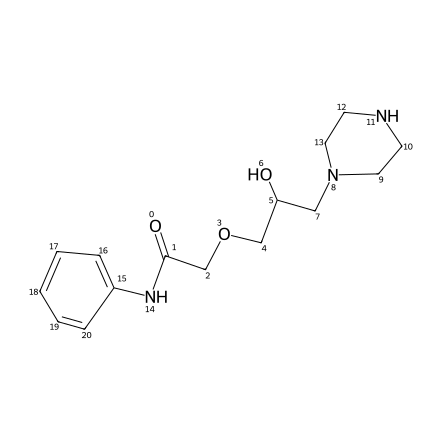 O=C(COCC(O)CN1CCNCC1)Nc1ccccc1